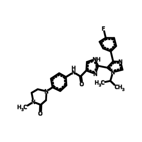 CC(C)n1cnc(-c2ccc(F)cc2)c1-c1nc(C(=O)Nc2ccc(N3CCN(C)C(=O)C3)cc2)c[nH]1